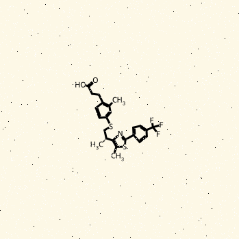 Cc1cc(SC[C@@H](C)c2nc(-c3ccc(C(F)(F)F)cc3)sc2C)ccc1CCC(=O)O